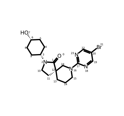 O=C1N([C@H]2CC[C@@H](O)CC2)CC[C@]12CCCN(c1ncc(Br)cn1)C2